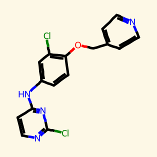 Clc1nccc(Nc2ccc(OCc3ccncc3)c(Cl)c2)n1